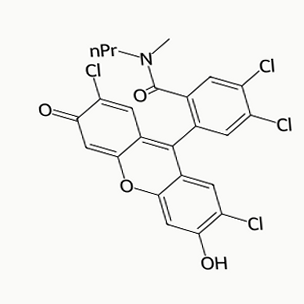 CCCN(C)C(=O)c1cc(Cl)c(Cl)cc1-c1c2cc(Cl)c(=O)cc-2oc2cc(O)c(Cl)cc12